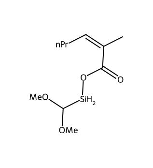 CCCC=C(C)C(=O)O[SiH2]C(OC)OC